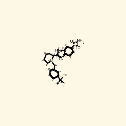 NS(=O)(=O)c1ccc2nc(C3CCCCN3Cc3cccc(C(F)(F)F)c3)[nH]c2c1